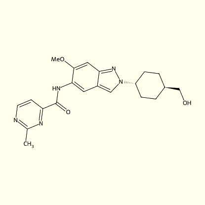 COc1cc2nn([C@H]3CC[C@H](CO)CC3)cc2cc1NC(=O)c1ccnc(C)n1